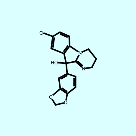 OC1(c2ccc3c(c2)OCO3)C2=NCCCN2c2ccc(Cl)cc21